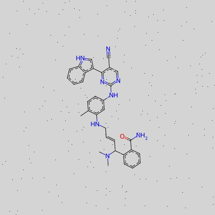 Cc1ccc(Nc2ncc(C#N)c(-c3c[nH]c4ccccc34)n2)cc1NC/C=C/C(c1ccccc1C(N)=O)N(C)C